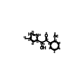 CC(=O)c1ccccc1C(=O)N(O)c1cc(C)[nH]n1